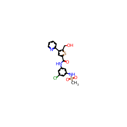 CS(=O)(=O)Nc1cc(Cl)cc(NC(=O)c2cc(-c3ccccn3)c(CO)s2)c1